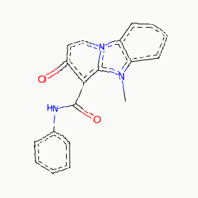 Cn1c2ccccc2n2ccc(=O)c(C(=O)Nc3ccccc3)c12